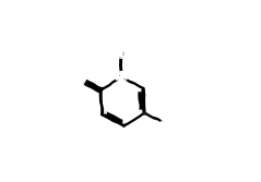 [CH2]c1ccc(=O)n(Br)c1